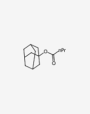 CCCC(=O)OC12CC3CC(CC(C3)C1)C2